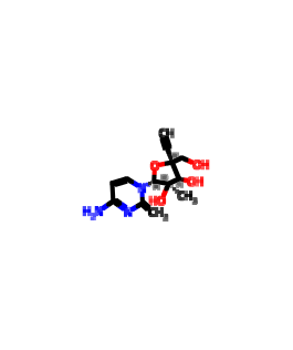 C#C[C@]1(CO)O[C@@H](N2C=CC(N)=NC2=C)[C@](C)(O)[C@@H]1O